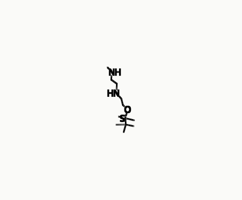 CNCCNCCO[Si](C)(C)C(C)(C)C